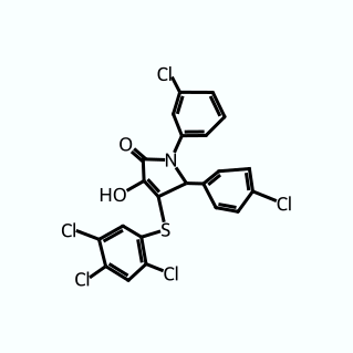 O=C1C(O)=C(Sc2cc(Cl)c(Cl)cc2Cl)C(c2ccc(Cl)cc2)N1c1cccc(Cl)c1